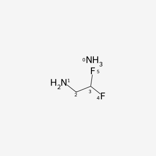 N.NCC(F)F